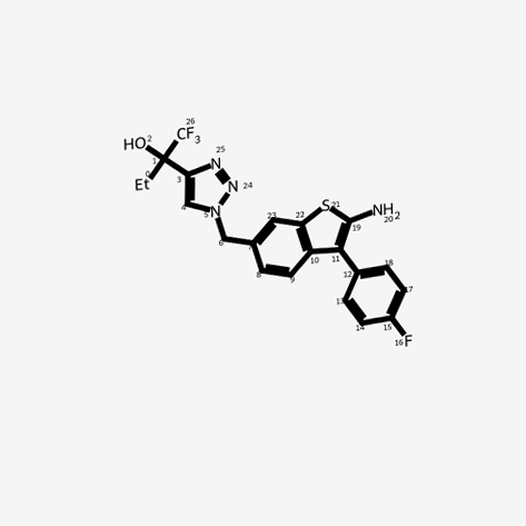 CCC(O)(c1cn(Cc2ccc3c(-c4ccc(F)cc4)c(N)sc3c2)nn1)C(F)(F)F